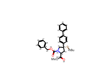 CCCCS[C@]1(c2ccc(-c3ccccc3)cc2)CC(C(=O)OC)N(C(=O)OCc2ccccc2)C1